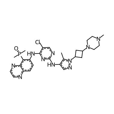 Cc1c(Nc2ncc(Cl)c(Nc3ccc4nccnc4c3P(C)(C)=O)n2)cnn1C1CC(N2CCN(C)CC2)C1